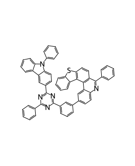 c1ccc(-c2nc(-c3cccc(-c4ccc5nc(-c6ccccc6)c6ccc7sc8ccccc8c7c6c5c4)c3)nc(-c3ccc4c(c3)c3ccccc3n4-c3ccccc3)n2)cc1